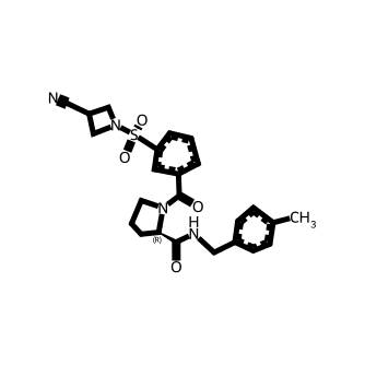 Cc1ccc(CNC(=O)[C@H]2CCCN2C(=O)c2cccc(S(=O)(=O)N3CC(C#N)C3)c2)cc1